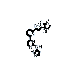 CN1CC[C@@](O)(c2cc(-c3cccc(-c4ccnc(Nc5ccnn5C)n4)n3)no2)C1=O